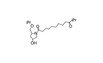 CC(C)OCC1CC(O)CN1C(=O)CCCCCCCCC(=O)C(C)C